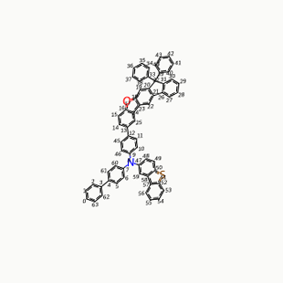 c1ccc(-c2ccc(N(c3ccc(-c4ccc5oc6cc7c(cc6c5c4)-c4ccccc4C7(c4ccccc4)c4ccccc4)cc3)c3ccc4sc5ccccc5c4c3)cc2)cc1